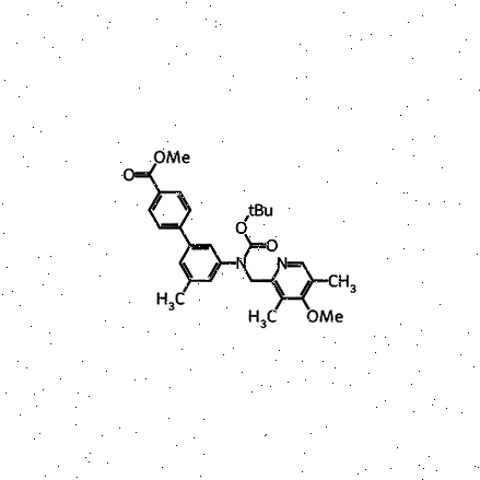 COC(=O)c1ccc(-c2cc(C)cc(N(Cc3ncc(C)c(OC)c3C)C(=O)OC(C)(C)C)c2)cc1